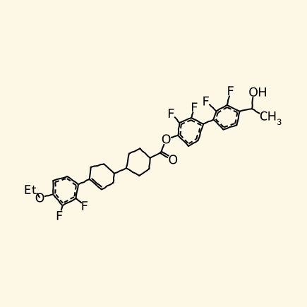 CCOc1ccc(C2=CCC(C3CCC(C(=O)Oc4ccc(-c5ccc(C(C)O)c(F)c5F)c(F)c4F)CC3)CC2)c(F)c1F